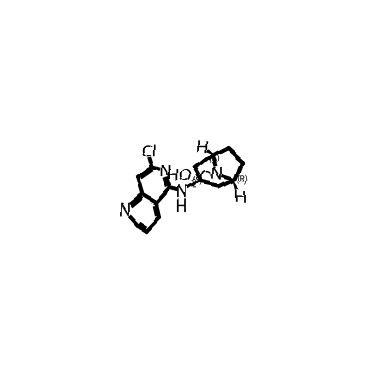 O=C(O)N1[C@@H]2CC[C@H]1C[C@H](Nc1nc(Cl)cc3ncccc13)C2